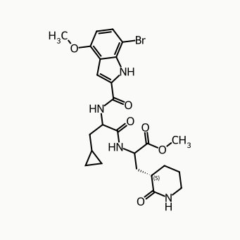 COC(=O)C(C[C@@H]1CCCNC1=O)NC(=O)C(CC1CC1)NC(=O)c1cc2c(OC)ccc(Br)c2[nH]1